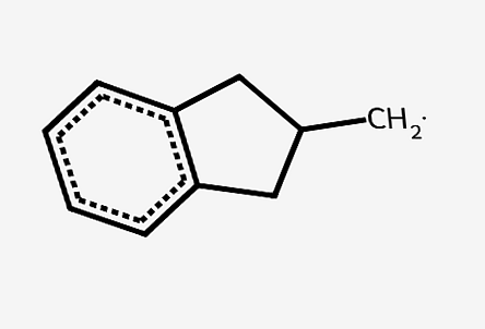 [CH2]C1Cc2ccccc2C1